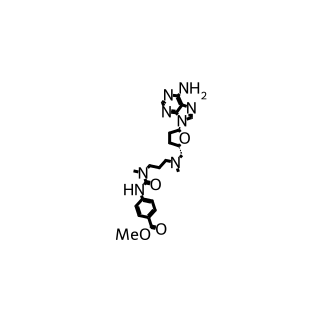 COC(=O)c1ccc(NC(=O)N(C)CCCN(C)C[C@@H]2CC[C@H](n3cnc4c(N)ncnc43)O2)cc1